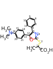 CC(Sc1nc(-c2ccccc2)c(-c2ccc(N(C)C)cc2)o1)C(=O)O